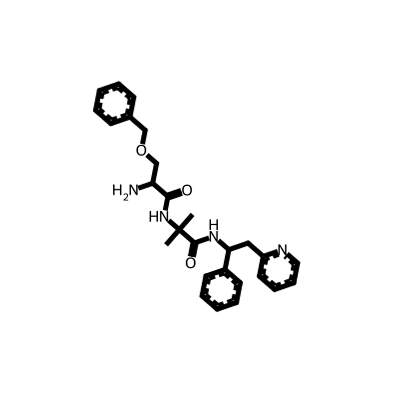 CC(C)(NC(=O)C(N)COCc1ccccc1)C(=O)NC(Cc1ccccn1)c1ccccc1